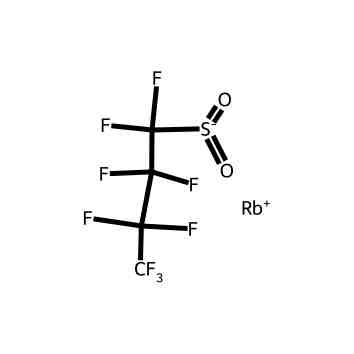 O=[S-](=O)C(F)(F)C(F)(F)C(F)(F)C(F)(F)F.[Rb+]